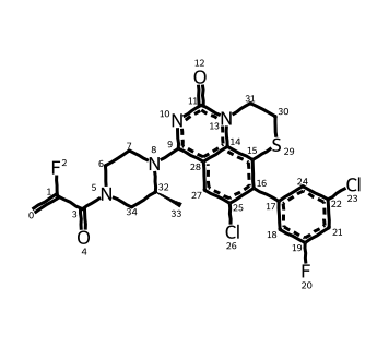 C=C(F)C(=O)N1CCN(c2nc(=O)n3c4c(c(-c5cc(F)cc(Cl)c5)c(Cl)cc24)SCC3)[C@@H](C)C1